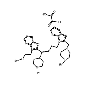 CCOCCn1c(CN2CCN(C(C)C)CC2)nc2cccnc21.CCOCCn1c(CN2CCN(C(C)C)CC2)nc2cccnc21.O=C(O)C(=O)O